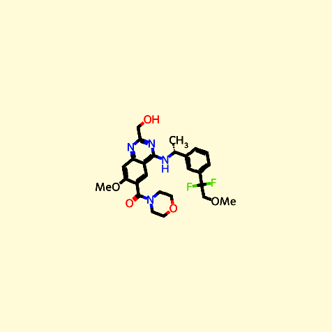 COCC(F)(F)c1cccc([C@@H](C)Nc2nc(CO)nc3cc(OC)c(C(=O)N4CCOCC4)cc23)c1